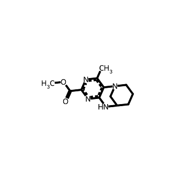 COC(=O)c1nc(C)c2c(n1)NC1CCCN2C1